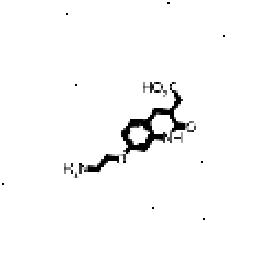 NCCOc1ccc2c(c1)NC(=O)C(CC(=O)O)C2